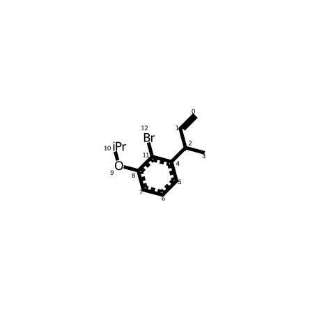 C=C[C](C)c1cccc(OC(C)C)c1Br